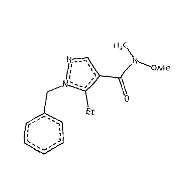 CCc1c(C(=O)N(C)OC)cnn1Cc1ccccc1